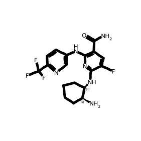 NC(=O)c1cc(F)c(N[C@@H]2CCCC[C@@H]2N)nc1Nc1ccc(C(F)(F)F)nc1